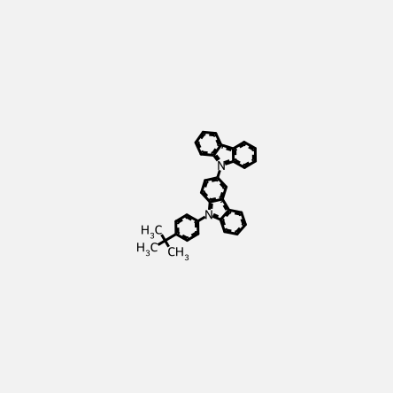 CC(C)(C)c1ccc(-n2c3ccccc3c3cc(-n4c5ccccc5c5ccccc54)ccc32)cc1